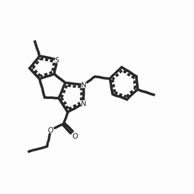 CCOC(=O)c1nn(Cc2ccc(C)cc2)c2c1Cc1cc(C)sc1-2